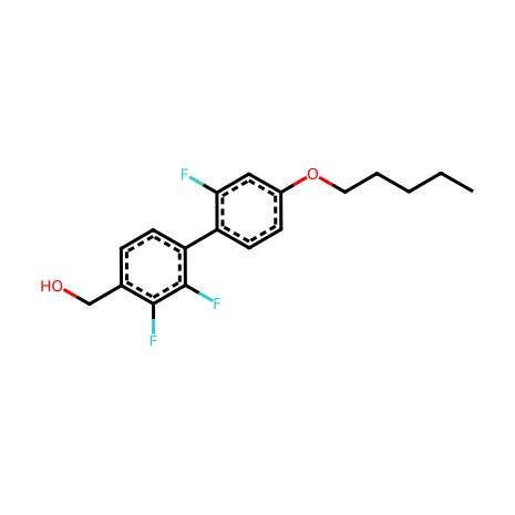 CCCCCOc1ccc(-c2ccc(CO)c(F)c2F)c(F)c1